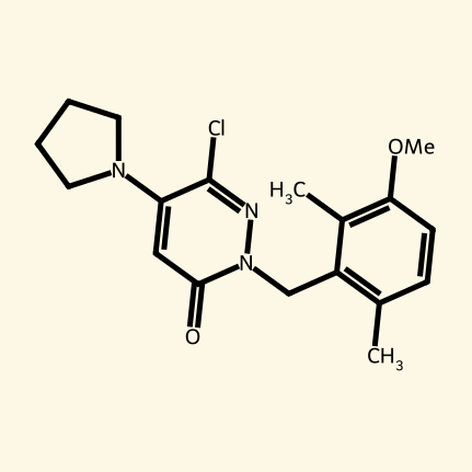 COc1ccc(C)c(Cn2nc(Cl)c(N3CCCC3)cc2=O)c1C